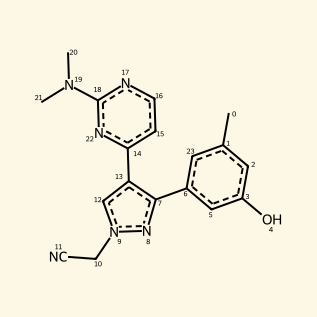 Cc1cc(O)cc(-c2nn(CC#N)cc2-c2ccnc(N(C)C)n2)c1